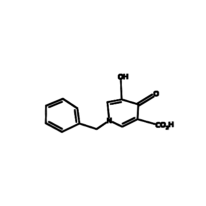 O=C(O)c1cn(Cc2ccccc2)cc(O)c1=O